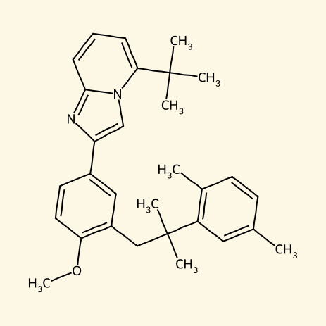 COc1ccc(-c2cn3c(C(C)(C)C)cccc3n2)cc1CC(C)(C)c1cc(C)ccc1C